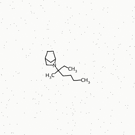 CCCCC(C)(CC)N1CC2CCC1C2